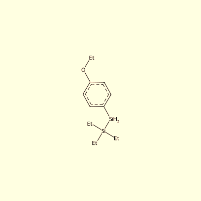 CCOc1ccc([SiH2][Si](CC)(CC)CC)cc1